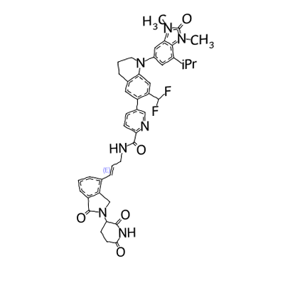 CC(C)c1cc(N2CCCc3cc(-c4ccc(C(=O)NC/C=C/c5cccc6c5CN(C5CCC(=O)NC5=O)C6=O)nc4)c(C(F)F)cc32)cc2c1n(C)c(=O)n2C